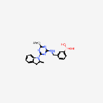 COc1nc(NCc2cccc(B(O)O)c2)nc(N2c3ccccc3CC2C)n1